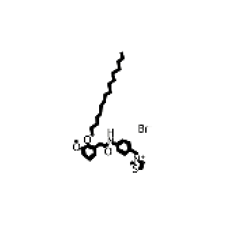 CCCCCCCCCCCCCCCCOc1c(CC(=O)Nc2ccc(C[n+]3ccsc3)cc2)cccc1OC.[Br-]